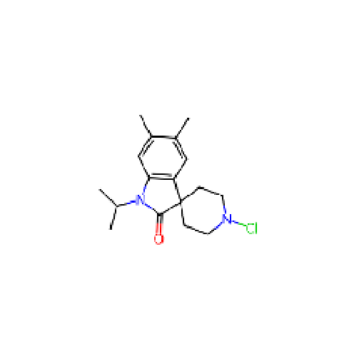 Cc1cc2c(cc1C)C1(CCN(Cl)CC1)C(=O)N2C(C)C